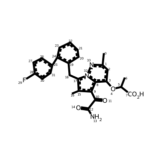 Cc1cc(OC(C)C(=O)O)c2c(C(=O)C(N)=O)c(C)c(Cc3ccccc3-c3ccc(F)cc3)n2n1